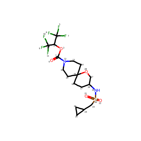 O=C(OC(C(F)(F)F)C(F)(F)F)N1CCC2(CCC(NS(=O)(=O)CC3CC3)CO2)CC1